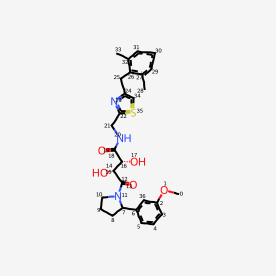 COc1cccc(C2CCCN2C(=O)[C@H](O)[C@@H](O)C(=O)NCc2nc(Cc3c(C)cccc3C)cs2)c1